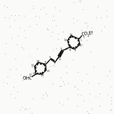 CCOC(=O)c1ccc(C#CC=Cc2ccc(C=O)cc2)cc1